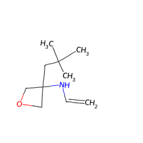 C=CNC1(CC(C)(C)C)COC1